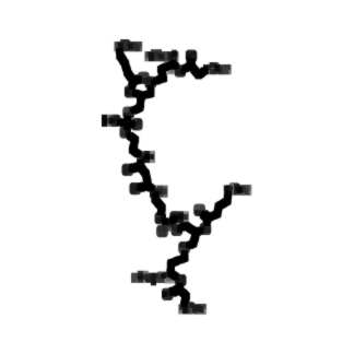 CCCCCCCCCCCCCC(=O)OC(COCC[C@@H](CCCCCCC)OC(=O)CCCCCCCCCCC)COP(=O)(O)OCCNC(=O)CC(=O)NCCOP(=O)(O)OCC(COCC[C@H](CCCCCCC)OC(=O)CCCCCCCCCCC)OC(=O)CCCCCCCCCCCCC